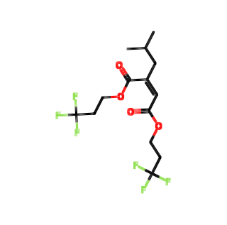 CC(C)CC(=CC(=O)OCCC(F)(F)F)C(=O)OCCC(F)(F)F